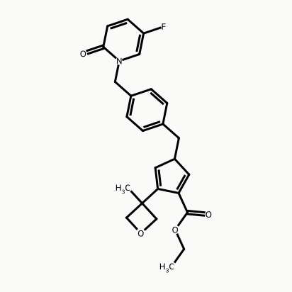 CCOC(=O)C1=CC(Cc2ccc(Cn3cc(F)ccc3=O)cc2)C=C1C1(C)COC1